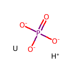 O=P([O-])([O-])[O-].[H+].[U]